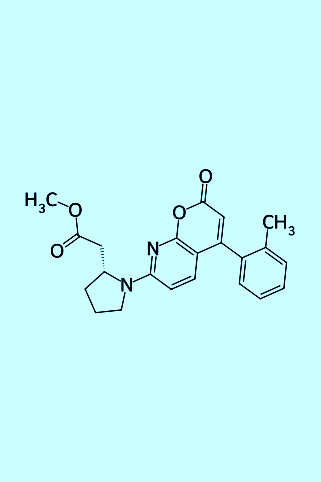 COC(=O)C[C@H]1CCCN1c1ccc2c(-c3ccccc3C)cc(=O)oc2n1